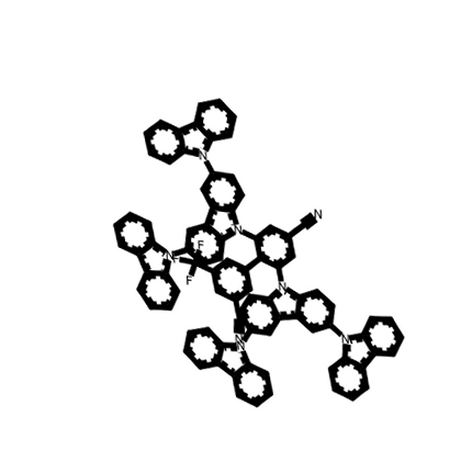 N#Cc1cc(-c2c(-n3c4ccc(-n5c6ccccc6c6ccccc65)cc4c4cc(-n5c6ccccc6c6ccccc65)ccc43)cc(C#N)cc2-n2c3ccc(-n4c5ccccc5c5ccccc54)cc3c3cc(-n4c5ccccc5c5ccccc54)ccc32)cc(C(F)(F)F)c1